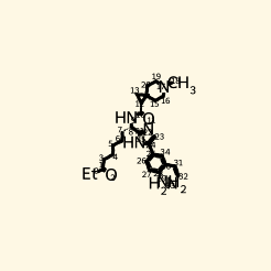 CCC(=O)CCCCC[C@H](NC(=O)[C@H]1CC12CCN(C)CC2)c1ncc(-c2ccc(N)c(/C=C\N)c2)[nH]1